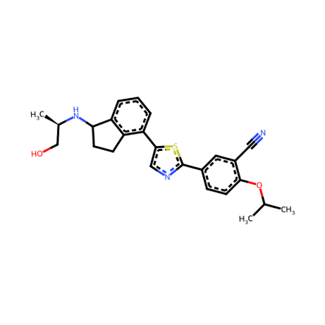 CC(C)Oc1ccc(-c2ncc(-c3cccc4c3CCC4N[C@H](C)CO)s2)cc1C#N